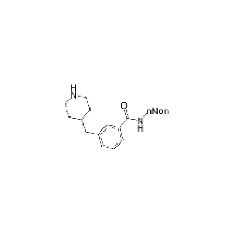 CCCCCCCCCNC(=O)c1cccc(CC2CCNCC2)c1